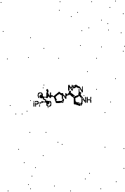 CC(C)S(=O)(=O)N(C)[C@@H]1CCN(c2ncnc3[nH]ccc23)C1